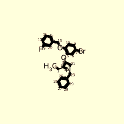 CC[C@H]1[C@@H](Oc2cc(Br)ccc2OCc2cccc(F)c2)CN1Cc1ccccc1